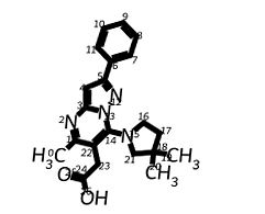 Cc1nc2cc(-c3ccccc3)nn2c(N2CCC(C)(C)C2)c1CC(=O)O